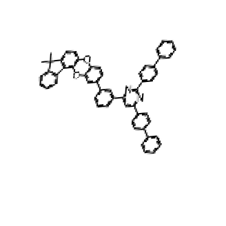 CC1(C)c2ccccc2-c2c1ccc1c2Oc2cc(-c3cccc(-c4cc(-c5ccc(-c6ccccc6)cc5)nc(-c5ccc(-c6ccccc6)cc5)n4)c3)ccc2O1